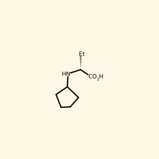 CC[C@@H](NC1CCCC1)C(=O)O